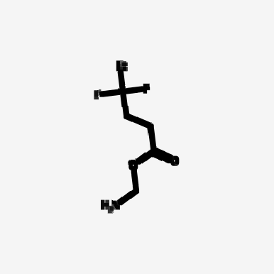 CCC(F)(F)CCC(=O)OCN